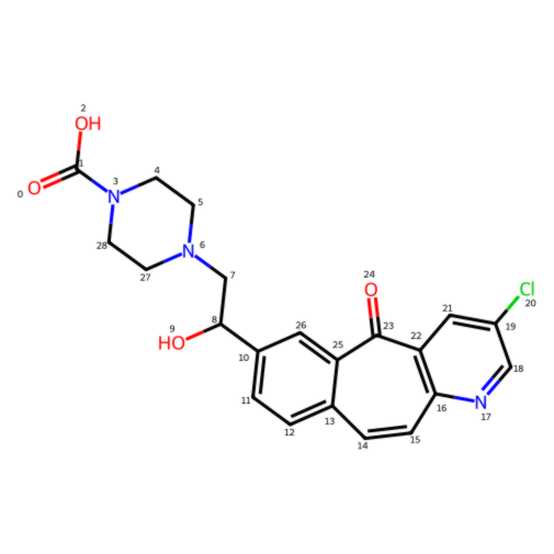 O=C(O)N1CCN(CC(O)c2ccc3ccc4ncc(Cl)cc4c(=O)c3c2)CC1